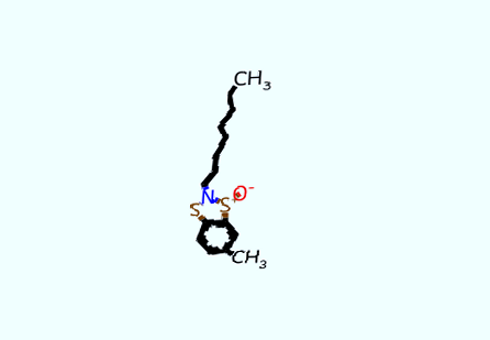 CCCCCCCCN1Sc2ccc(C)cc2[S+]1[O-]